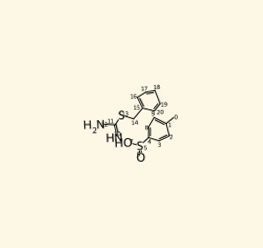 Cc1ccc(S(=O)O)cc1.N=C(N)SCc1ccccc1